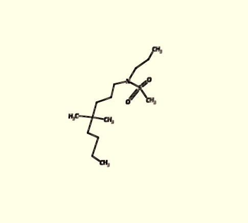 CCCCC(C)(C)CCCN(CCC)S(C)(=O)=O